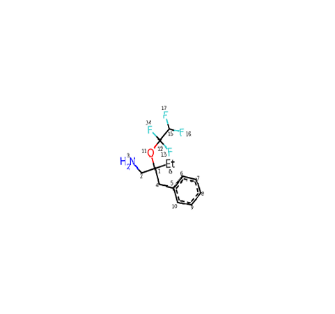 CCC(CN)(Cc1ccccc1)OC(F)(F)C(F)F